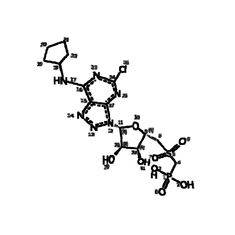 O=P(O)(O)CS(=O)(=O)C[C@H]1O[C@@H](n2nnc3c(NC4CCCC4)nc(Cl)nc32)[C@H](O)[C@@H]1O